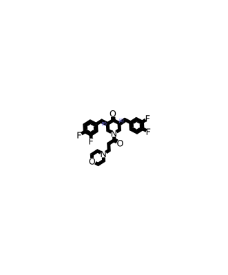 O=C1/C(=C/c2ccc(F)c(F)c2)CN(C(=O)CCN2CCOCC2)C/C1=C\c1ccc(F)c(F)c1